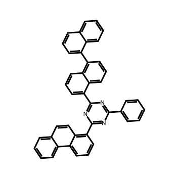 c1ccc(-c2nc(-c3cccc4c(-c5cccc6ccccc56)cccc34)nc(-c3cccc4c3ccc3ccccc34)n2)cc1